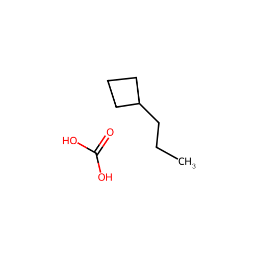 CCCC1CCC1.O=C(O)O